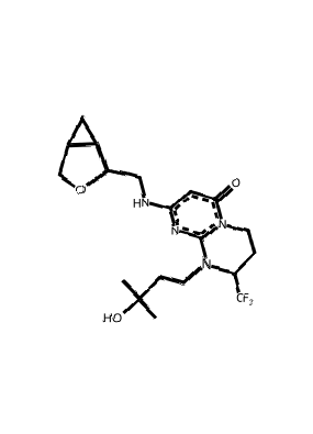 CC(C)(O)CCN1c2nc(NCC3OCC4CC43)cc(=O)n2CCC1C(F)(F)F